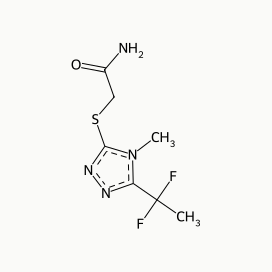 Cn1c(SCC(N)=O)nnc1C(C)(F)F